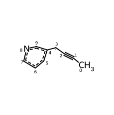 CC#C[CH]c1cccnc1